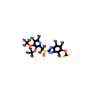 [2H]c1nc(C([2H])([2H])[S+]([O-])c2nc3c([2H])c([2H])c(OC(F)F)c([2H])c3[nH]2)c(OC([2H])([2H])[2H])c(OC([2H])([2H])[2H])c1[2H]